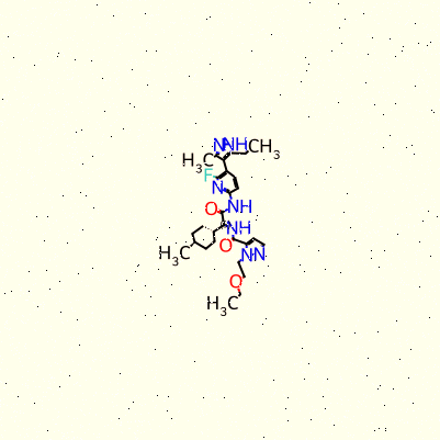 CCOCCn1nccc1C(=O)N[C@H](C(=O)Nc1ccc(-c2c(C)n[nH]c2CC)c(F)n1)[C@H]1CC[C@H](C)CC1